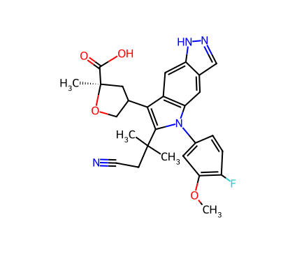 COc1cc(-n2c(C(C)(C)CC#N)c(C3CO[C@@](C)(C(=O)O)C3)c3cc4[nH]ncc4cc32)ccc1F